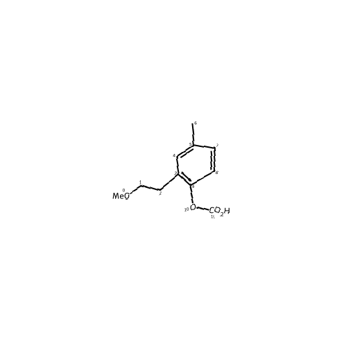 COCCc1cc(C)ccc1OC(=O)O